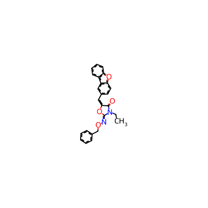 CCN1C(=O)/C(=C\c2ccc3oc4ccccc4c3c2)OC1=NOCc1ccccc1